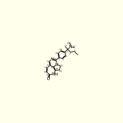 CCCC(C)(c1ccc(C2=NC=C3C=CC(=O)NC4=C3N2CC4)cc1)N(C)C